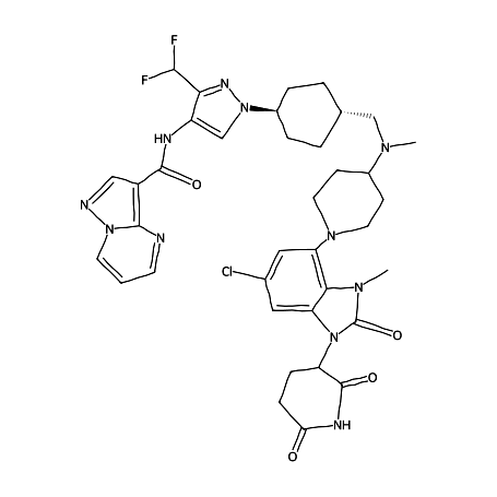 CN(C[C@H]1CC[C@H](n2cc(NC(=O)c3cnn4cccnc34)c(C(F)F)n2)CC1)C1CCN(c2cc(Cl)cc3c2n(C)c(=O)n3C2CCC(=O)NC2=O)CC1